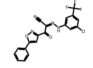 N#CC(=NNc1cc(Cl)cc(C(F)(F)F)c1)C(=O)c1cc(-c2ccccc2)on1